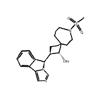 CS(=O)(=O)N1CCC2(CC1)C[C@H]([C@@H]1c3ccccc3-c3cncn31)[C@H]2O